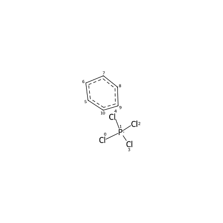 Cl[P](Cl)(Cl)Cl.c1ccccc1